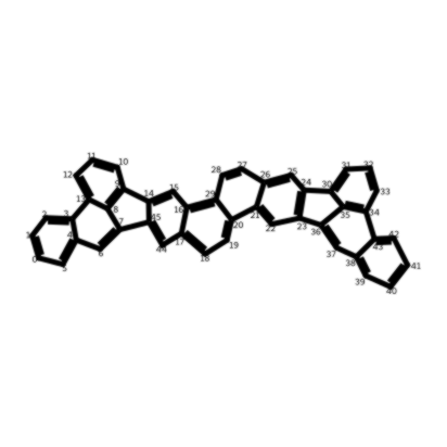 c1ccc2c(c1)cc1c3c(cccc32)-c2cc3c(ccc4c5cc6c(cc5ccc34)-c3cccc4c3c-6cc3ccccc34)cc2-1